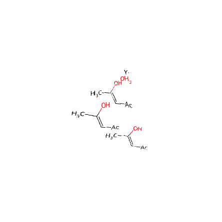 CC(=O)C=C(C)O.CC(=O)C=C(C)O.CC(=O)C=C(C)O.O.[Y]